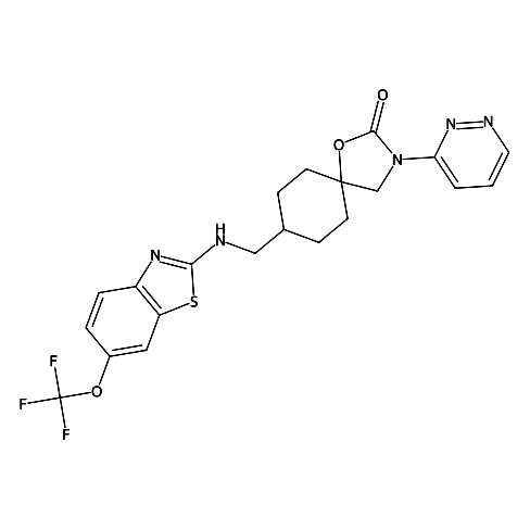 O=C1OC2(CCC(CNc3nc4ccc(OC(F)(F)F)cc4s3)CC2)CN1c1cccnn1